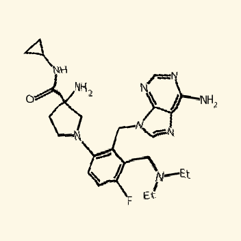 CCN(CC)Cc1c(F)ccc(N2CCC(N)(C(=O)NC3CC3)C2)c1Cn1cnc2c(N)ncnc21